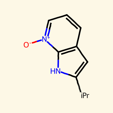 CC(C)c1cc2ccc[n+]([O-])c2[nH]1